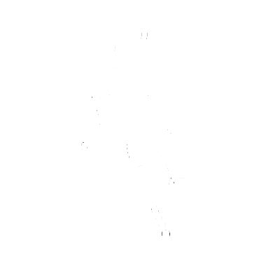 COc1ccc(C23C(=O)CC2C(=O)NC3=O)cc1